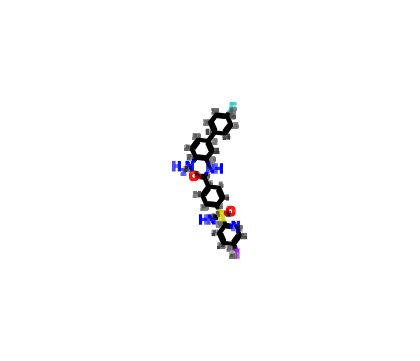 N=S(=O)(c1ccc(C(=O)Nc2cc(-c3ccc(F)cc3)ccc2N)cc1)c1ccc(I)cn1